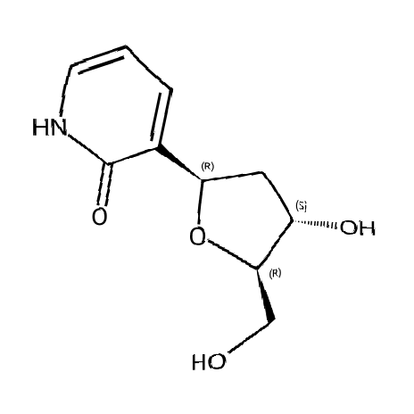 O=c1[nH]cccc1[C@H]1C[C@H](O)[C@@H](CO)O1